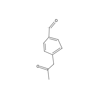 CC(=O)Cc1ccc([C]=O)cc1